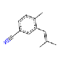 CC(C)=Cc1cc(C#N)ccc1C